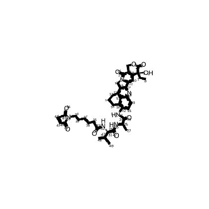 CC[C@@]1(O)C(=O)OCc2c1cc1n(c2=O)Cc2c-1nc1ccc(NC(=O)C(C)NC(=O)[C@@H](NC(=O)CCCCCN3C(=O)C=CC3=O)C(C)C)c3c1c2CCC3